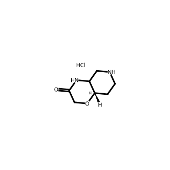 Cl.O=C1CO[C@H]2CCNCC2N1